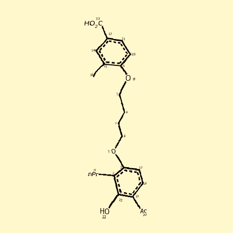 CCCc1c(OCCCCOc2ccc(C(=O)O)cc2C)ccc(C(C)=O)c1O